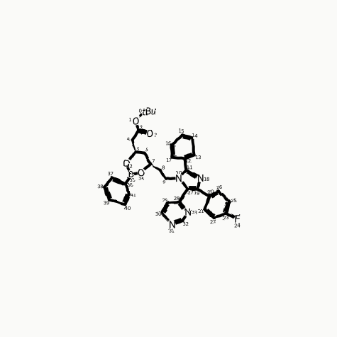 CC(C)(C)OC(=O)C[C@H]1C[C@@H](CCn2c(-c3ccccc3)nc(-c3ccc(F)cc3)c2-c2ccncn2)OB(c2ccccc2)O1